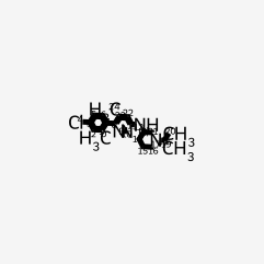 Cc1cc(Cl)ccc1-c1nnc(N[C@@H]2CCCN(C(C)C)C2)cc1C